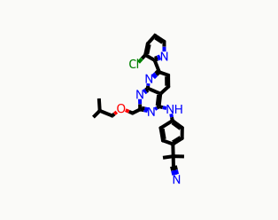 CC(C)COCc1nc(Nc2ccc(C(C)(C)C#N)cc2)c2ccc(-c3ncccc3Cl)nc2n1